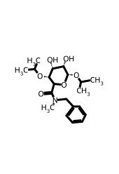 CC(C)O[C@@H]1OC(C(=O)N(C)Cc2ccccc2)[C@H](OC(C)C)[C@H](O)[C@@H]1O